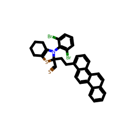 S=CC1(CCc2cccc3c2ccc2c4ccccc4ccc32)SC2=C(CCCC2)N1c1c(Br)cccc1Br